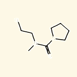 CN(CCCl)C(=O)N1CCCC1